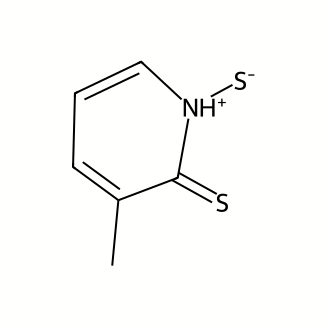 CC1=CC=C[NH+]([S-])C1=S